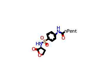 CCCCCC(=O)Nc1ccc(S(=O)(=O)N[C@H]2CCOC2=O)cc1